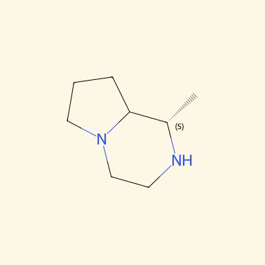 C[C@@H]1NCCN2CCCC12